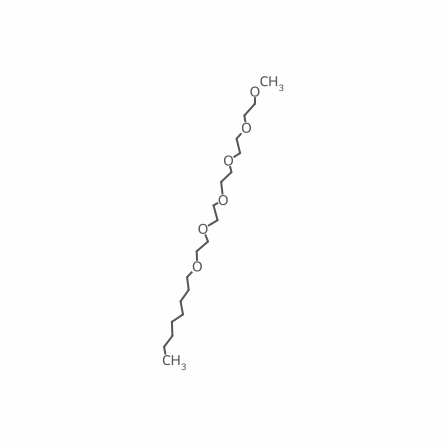 CCCCCCCCOCCOCCOCCOCCOCCOC